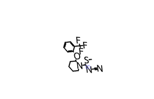 CS/C(=N\C#N)N1CCCCC1Oc1ccccc1C(F)(F)F